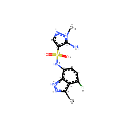 Cn1ncc(S(=O)(=O)Nc2ccc(Cl)c3c(C#N)n[nH]c23)c1N